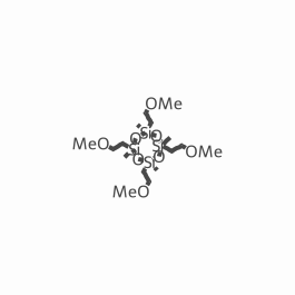 COCC[Si]1(C)O[Si](C)(CCOC)O[Si](C)(CCOC)O[Si](C)(CCOC)O1